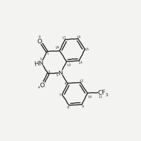 O=c1[nH]c(=O)n(-c2cccc(C(F)(F)F)c2)c2ccccc12